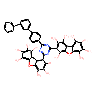 Bc1c(B)c(B)c2c(oc3c(B)c(-c4nc(-c5ccc(-c6cccc(-c7ccccc7)c6)cc5)nc(-c5c(B)c(B)c(B)c6oc7c(B)c(B)c(B)c(B)c7c56)n4)c(B)c(B)c32)c1B